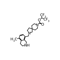 Cc1ccc(CN2CCC3(CCN(C(=O)OC(C(F)(F)F)C(F)(F)F)CC3)C2)c2c1CCNC2